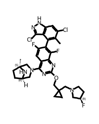 Cc1c(Cl)cc2[nH]nc(Cl)c2c1-c1c(F)cc2c(N3C[C@H]4CC[C@@](C)(C3)N4)nc(OCC3(CN4CC[C@@H](F)C4)CC3)nc2c1F